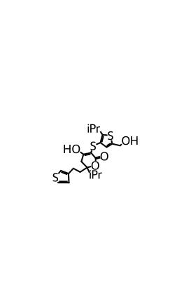 CC(C)c1sc(CO)cc1SC1=C(O)CC(CCc2ccsc2)(C(C)C)OC1=O